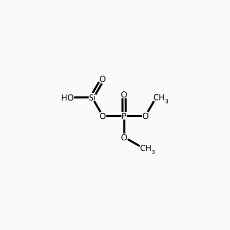 COP(=O)(OC)O[Si](=O)O